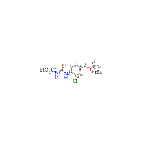 CCOC(=O)NC(=S)Nc1ccc(CO[Si](C)(C)C(C)(C)C)cc1Cl